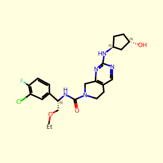 CCOC[C@@H](NC(=O)N1CCc2cnc(N[C@H]3CC[C@H](O)C3)nc2C1)c1ccc(F)c(Cl)c1